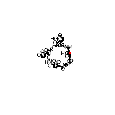 C=C1NCCCN(C(=O)c2cccc(=O)n2O)CCCC(C)N(C(=O)c2cccc(=O)n2O)CCCNC(=O)c2ccc(c(=O)n2O)C(=O)NC(C)NC(=O)c2ccc1n(O)c2=O